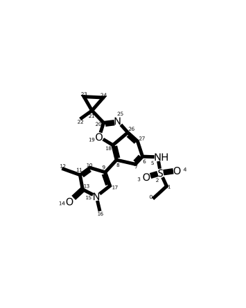 CCS(=O)(=O)Nc1cc(-c2cc(C)c(=O)n(C)c2)c2oc(C3(C)CC3)nc2c1